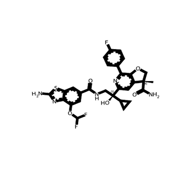 C[C@]1(C(N)=O)COc2c1cc([C@@](O)(CNC(=O)c1cc(OC(F)F)c3nc(N)sc3c1)C1CC1)nc2-c1ccc(F)cc1